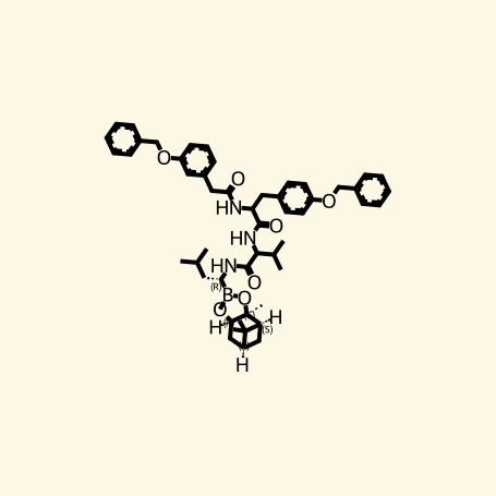 CC(C)C[C@H](NC(=O)C(NC(=O)C(Cc1ccc(OCc2ccccc2)cc1)NC(=O)Cc1cccc(OCc2ccccc2)c1)C(C)C)B1O[C@@H]2C[C@@H]3C[C@@H](C3(C)C)[C@]2(C)O1